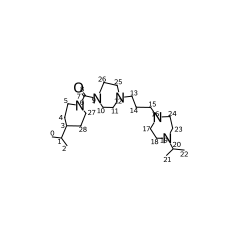 CC(C)C1CCN(C(=O)N2CCN(CCCN3CCN(C(C)C)CC3)CC2)CC1